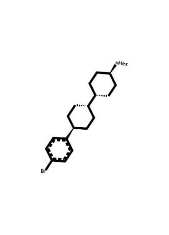 CCCCCC[C@H]1CC[C@H]([C@H]2CC[C@H](c3ccc(Br)cc3)CC2)CC1